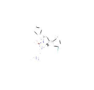 CCN(CC)CCN1C[C@H]2C(c3cc(F)ccc3F)=C[C@@H](c3ccccc3)N2C1=O